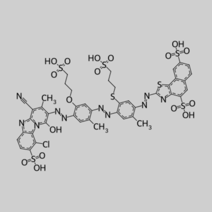 Cc1cc(N=Nc2cc(OCCCS(=O)(=O)O)c(N=Nc3c(C)c(C#N)c4nc5ccc(S(=O)(=O)O)c(Cl)c5n4c3O)cc2C)c(SCCCS(=O)(=O)O)cc1N=Nc1nc2c(S(=O)(=O)O)cc3ccc(S(=O)(=O)O)cc3c2s1